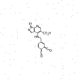 CCn1ncc2c(NCc3ccc(=C=O)c(=C=O)c3)c(C(=O)O)cnc21